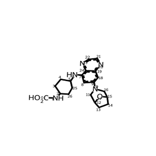 O=C(O)NC1CCC(Nc2cc(N3CC4CCC(C3)O4)cc3nccnc23)CC1